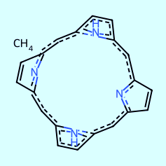 C.C1=Cc2cc3ccc(cc4nc(cc5ccc(cc1n2)[nH]5)C=C4)[nH]3